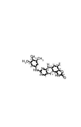 Cc1cc(Nc2ncc(F)c(Nc3cc(F)c4oc(=O)[nH]c4c3)n2)cc(C)c1C